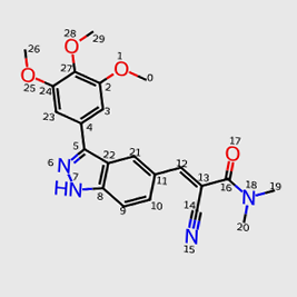 COc1cc(-c2n[nH]c3ccc(/C=C(\C#N)C(=O)N(C)C)cc23)cc(OC)c1OC